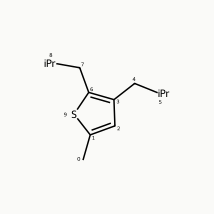 Cc1cc(CC(C)C)c(CC(C)C)s1